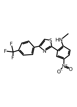 CNc1ccc([N+](=O)[O-])cc1-c1nc(-c2ccc(C(F)(F)F)cc2)cs1